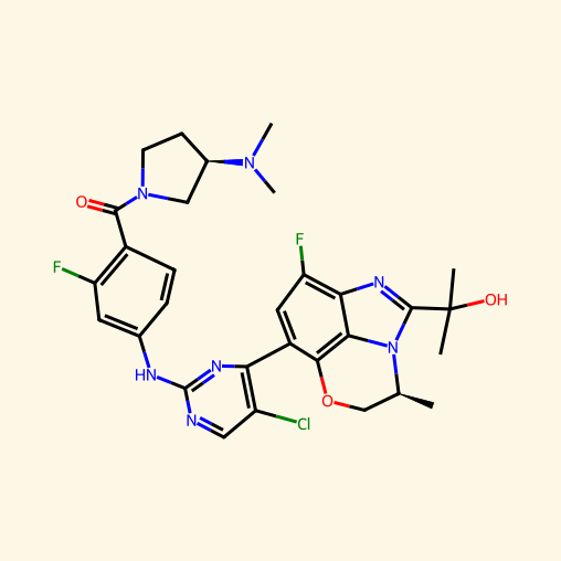 C[C@H]1COc2c(-c3nc(Nc4ccc(C(=O)N5CC[C@@H](N(C)C)C5)c(F)c4)ncc3Cl)cc(F)c3nc(C(C)(C)O)n1c23